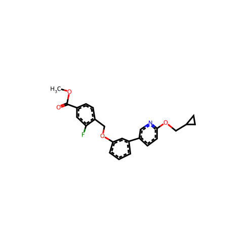 COC(=O)c1ccc(COc2cccc(-c3ccc(OCC4CC4)nc3)c2)c(F)c1